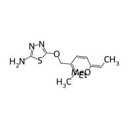 C\C=C(/C=C\C(COc1nnc(N)s1)=C(\C)CC)OC